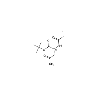 CCC(=O)N[C@H](CC(N)=O)C(=O)OC(C)(C)C